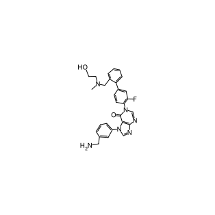 CN(CCO)Cc1ccccc1-c1ccc(-n2cnc3ncn(-c4cccc(CN)c4)c3c2=O)c(F)c1